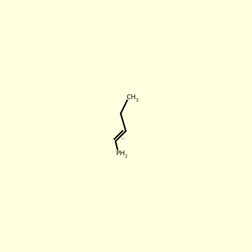 CC/C=C/P